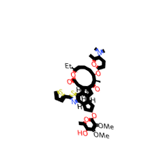 CC[C@H]1CCC[C@H](O[C@H]2CC[C@H](N(C)C)C(C)O2)[C@@H](C)C(=O)C2=C[C@H]3[C@@H]4C[C@H](O[C@@H]5OC(C)[C@H](O)C(OC)C5OC)C[C@H]4c4nc(-c5cccs5)sc4[C@H]3[C@@H]2CC(=O)O1